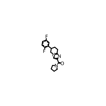 O=C(c1cn2c(n1)CCC(c1cc(F)ccc1F)C2)N1CCCC1